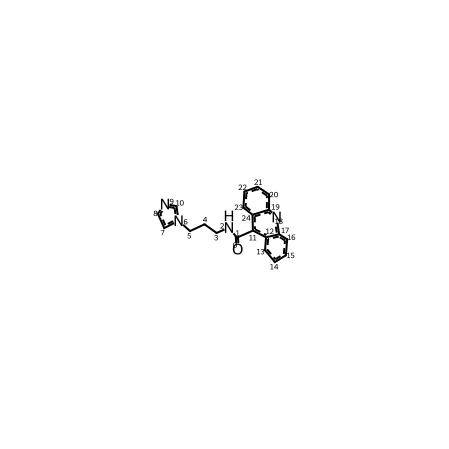 O=C(NCCCn1ccnc1)c1c2ccccc2nc2ccccc12